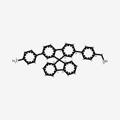 Cc1ccc(-c2ccc3c(c2)C2(c4ccccc4-c4ccccc42)c2cc(-c4ccc(CO)cc4)ccc2-3)cc1